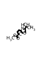 COC(=O)c1ccc2c(c1)OCC(C(C)C)N2